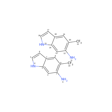 Nc1cc2[nH]ccc2cc1C(F)(F)F.Nc1cc2[nH]ccc2cc1C(F)(F)F